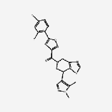 Cc1c(C2CN(C(=O)c3cc(-c4ccc(F)cc4F)on3)Cc3ncsc32)cnn1C